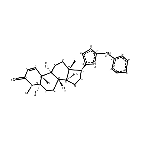 CN1C(=O)C=C[C@]2(C)[C@H]3CC[C@]4(C)[C@@H](c5csc(Nc6ccccc6)n5)CC[C@H]4[C@@H]3CC[C@@H]12